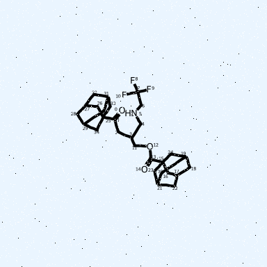 O=C(CC(CNCC(F)(F)F)COC(=O)C12CC3CC(CC(C3)C1)C2)C12CC3CC(CC(C3)C1)C2